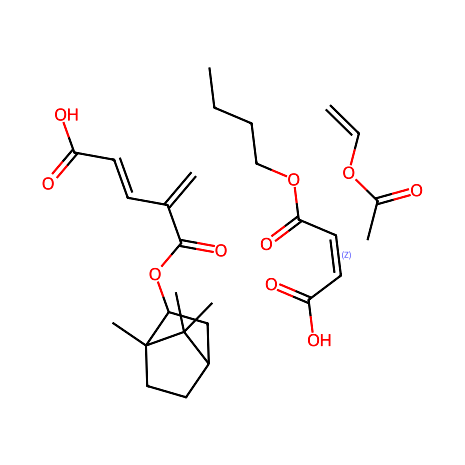 C=C(C=CC(=O)O)C(=O)OC1CC2CCC1(C)C2(C)C.C=COC(C)=O.CCCCOC(=O)/C=C\C(=O)O